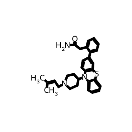 CC(C)=CCN1CCC(N2c3ccccc3Sc3cc(-c4ccccc4CC(N)=O)ccc32)CC1